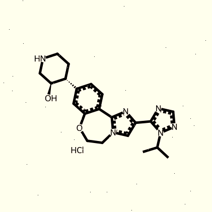 CC(C)n1ncnc1-c1cn2c(n1)-c1ccc([C@H]3CCNC[C@@H]3O)cc1OCC2.Cl